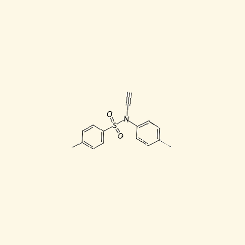 C#CN(c1ccc(C)cc1)S(=O)(=O)c1ccc(C)cc1